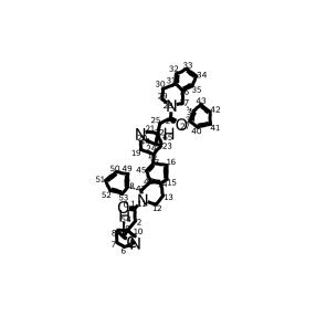 O=C(C[C@@H]1CN2CCC1CC2)N1CCc2ccc(C3CN4CCC3[C@H](CC(=O)N3CCc5ccccc5[C@@H]3c3ccccc3)C4)cc2[C@H]1c1ccccc1